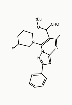 Cc1nc2cc(-c3ccccc3)nn2c(N2CCCC(F)C2)c1C(C=O)OC(C)(C)C